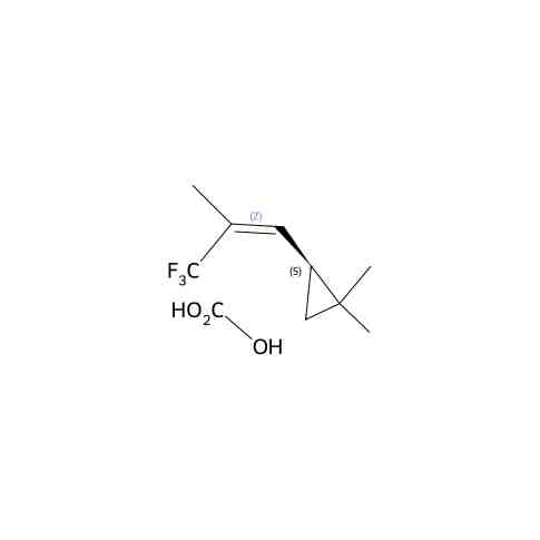 C/C(=C/[C@@H]1CC1(C)C)C(F)(F)F.O=C(O)O